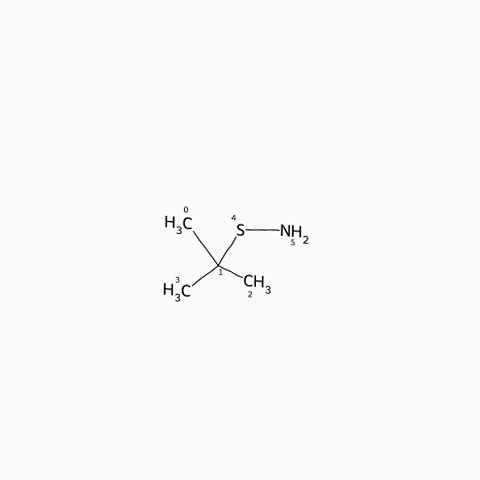 CC(C)(C)SN